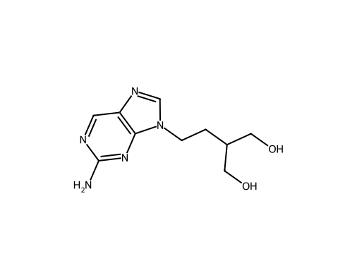 Nc1ncc2ncn(CCC(CO)CO)c2n1